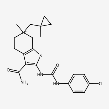 CC1(C[N+]2(C)CCc3c(sc(NC(=O)Nc4ccc(Cl)cc4)c3C(N)=O)C2)CC1